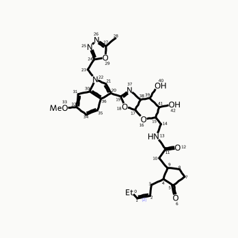 CC/C=C\CC1C(=O)CCC1CC(=O)NCC1OC2OC(c3cn(Cc4nnc(C)o4)c4cc(OC)ccc34)=NC2C(O)C1O